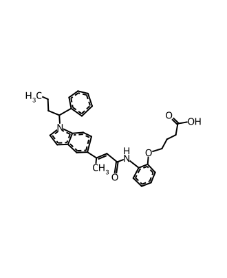 CCCC(c1ccccc1)n1ccc2cc(C(C)=CC(=O)Nc3ccccc3OCCCC(=O)O)ccc21